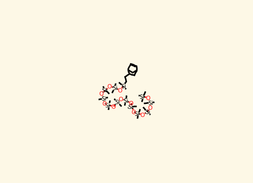 C[Si](C)(C)O[Si](C)(C)O[Si](C)(C)O[Si](C)(C)O[Si](C)(C)O[Si](C)(C)O[Si](C)(C)O[Si](C)(C)O[Si](C)(C)O[Si](C)(C)O[Si](C)(C)O[Si](C)(C)CCC1CC2C=CC1C2